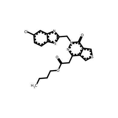 CCCCOC(=O)Cc1nn(Cc2nc3cc(Cl)ccc3s2)c(=O)c2cscc12